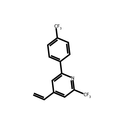 C=Cc1cc(-c2ccc(C(F)(F)F)cc2)nc(C(F)(F)F)c1